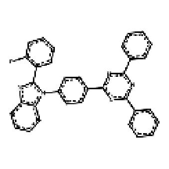 Fc1ccccc1-c1nc2ccccc2n1-c1ccc(-c2nc(-c3ccccc3)nc(-c3ccccc3)n2)cc1